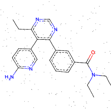 CCc1ncnc(-c2cccc(C(=O)N(CC)CC)c2)c1-c1ccc(N)nc1